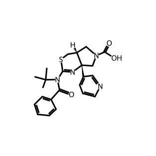 CC(C)(C)N(C(=O)c1ccccc1)C1=N[C@@]2(c3cccnc3)CN(C(=O)O)C[C@H]2CS1